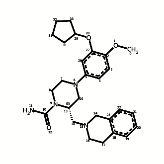 COc1ccc(N2CCN(C(N)=O)[C@@H](CN3CCc4ccccc4C3)C2)cc1OC1CCCC1